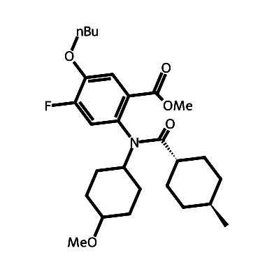 CCCCOc1cc(C(=O)OC)c(N(C(=O)[C@H]2CC[C@H](C)CC2)C2CCC(OC)CC2)cc1F